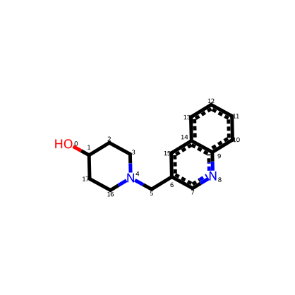 OC1CCN(Cc2cnc3ccccc3c2)CC1